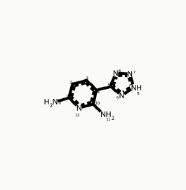 Nc1ccc(-c2nn[nH]n2)c(N)n1